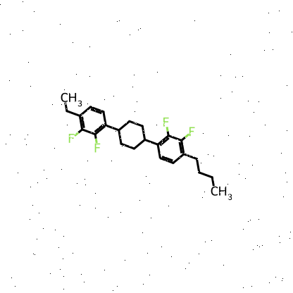 CCCCc1ccc(C2CCC(c3ccc(CC)c(F)c3F)CC2)c(F)c1F